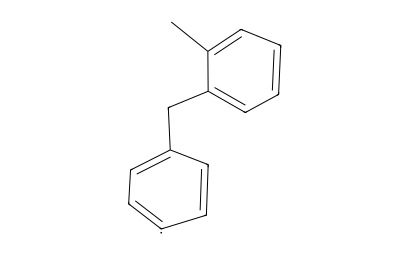 Cc1ccccc1Cc1cc[c]cc1